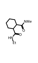 CCNC(=O)C1CCCCC1C(=O)NC